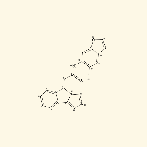 O=C(CC1c2ccccc2-c2cncn21)Nc1cc2occc2cc1F